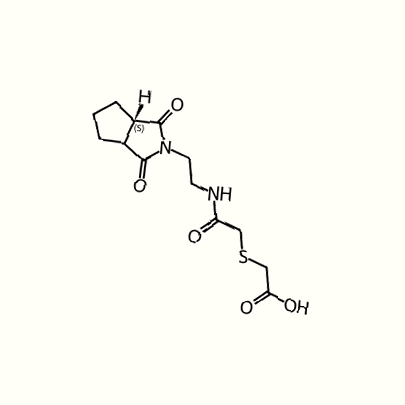 O=C(O)CSCC(=O)NCCN1C(=O)C2CCC[C@@H]2C1=O